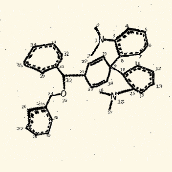 CN(C)c1ccccc1C1(c2ccccc2N(C)C)C=CC(C(OCc2ccccc2)c2ccccc2)C=C1